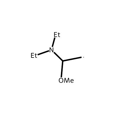 [CH2]C(OC)N(CC)CC